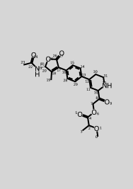 COC(C)C(=O)OCC(=O)C1C=C(c2ccc(C3=C(C)[C@H](NC(C)=O)OC3=O)cc2)CCN1